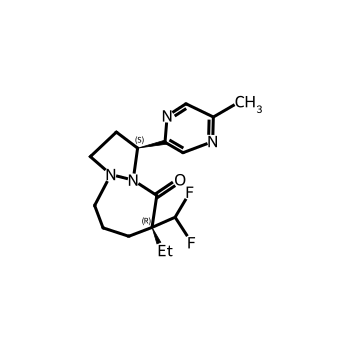 CC[C@@]1(C(F)F)CCCN2CC[C@@H](c3cnc(C)cn3)N2C1=O